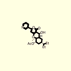 CCC(CC)[C@@H]1C[C@H](OC(C)=O)[C@@]2(C)Oc3cc(-c4cccnc4)oc(=O)c3[C@@H](O)[C@@H]2C1